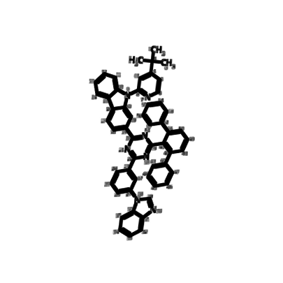 CC(C)(C)c1ccnc(-n2c3ccccc3c3ccc(-c4nc(-c5cccc(-n6cnc7ccccc76)c5)nc(-c5c(-c6ccccc6)cccc5-c5ccccc5)n4)cc32)c1